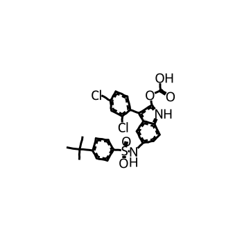 CC(C)(C)c1ccc(S(=O)(=O)Nc2ccc3[nH]c(OC(=O)O)c(-c4ccc(Cl)cc4Cl)c3c2)cc1